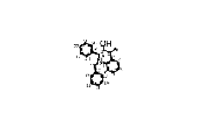 CC(CO)c1ccccc1N(Cc1ccccc1)Cc1ccccc1